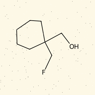 OCC1(CF)CCCCC1